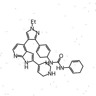 CCn1cc(-c2ccnc3[nH]c(C4=CCNCC4)cc23)c(C2=CCC(NC(=O)NC3=CCCC=C3)C=C2)n1